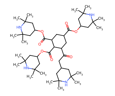 CC1(C)CC(CC(=O)C2CC(C(=O)OC3CC(C)(C)NC(C)(C)C3)CC(C(=O)OC3CC(C)(C)NC(C)(C)C3)C2C(=O)OC2CC(C)(C)NC(C)(C)C2)CC(C)(C)N1